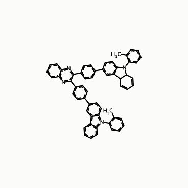 Cc1ccccc1N1c2ccc(-c3ccc(-c4nc5ccccc5nc4-c4ccc(-c5ccc6c(c5)c5ccccc5n6-c5ccccc5C)cc4)cc3)cc2C2C=CC=CC21